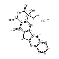 CC[C@@]1(O)C(=O)OC(O)c2c1cc1n(c2=O)Cc2cc3ccccc3nc2-1.Cl